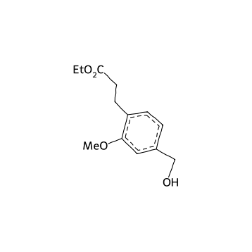 CCOC(=O)CCc1ccc(CO)cc1OC